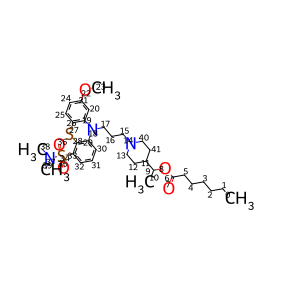 CCCCCCC(=O)OC(C)C1CCN(CCCN2c3cc(OC)ccc3Sc3c2cccc3S(=O)(=O)N(C)C)CC1